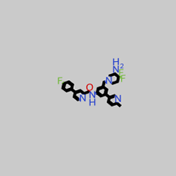 Cc1ccc(-c2cc(CN3CCC(F)(F)[C@H](N)C3)cc(NC(=O)c3cc(-c4ccc(F)cc4)ccn3)c2)cn1